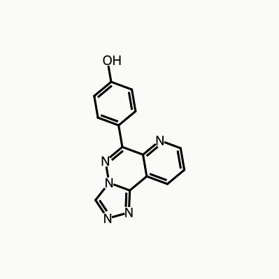 Oc1ccc(-c2nn3cnnc3c3cccnc23)cc1